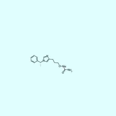 C[C@H](c1ccccc1)n1cnc(CCCONC(N)=O)c1